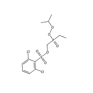 CCP(=O)(COS(=O)(=O)c1c(Cl)cccc1Cl)OOC(C)C